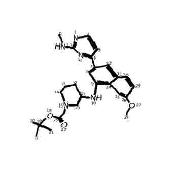 CNc1nccc(-c2cc(NC3CCCN(C(=O)OC(C)(C)C)C3)c3cc(OC)ccc3c2)n1